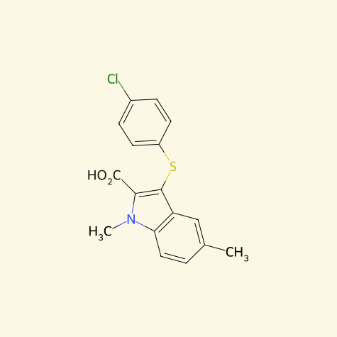 Cc1ccc2c(c1)c(Sc1ccc(Cl)cc1)c(C(=O)O)n2C